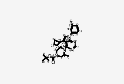 CC1CN(C(=O)OC(C)(C)C)CCN1c1ncnc2c1c(C1CCC1)cn2-c1cccc(F)c1